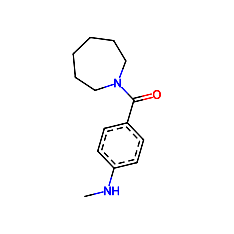 CNc1ccc(C(=O)N2CCCCCC2)cc1